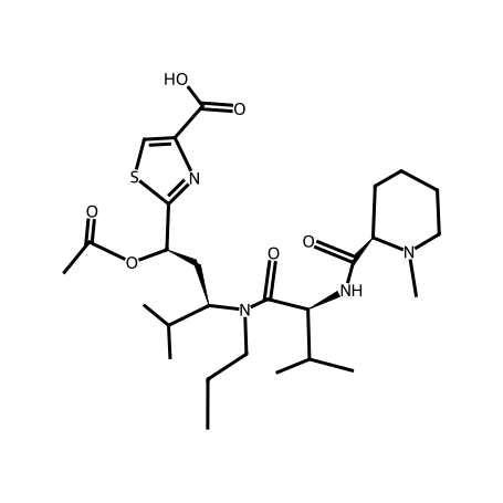 CCCN(C(=O)[C@@H](NC(=O)[C@H]1CCCCN1C)C(C)C)[C@H](C[C@@H](OC(C)=O)c1nc(C(=O)O)cs1)C(C)C